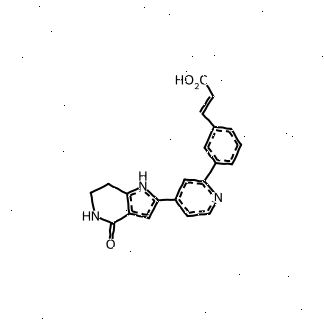 O=C(O)C=Cc1cccc(-c2cc(-c3cc4c([nH]3)CCNC4=O)ccn2)c1